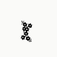 C[Si](C)(C)c1ccc(N(c2ccccc2)c2ccc3c(c2)Oc2cccc4c(N(c5ccccc5)c5ccc([Si](C)(C)C)cc5)ccc-3c24)cc1